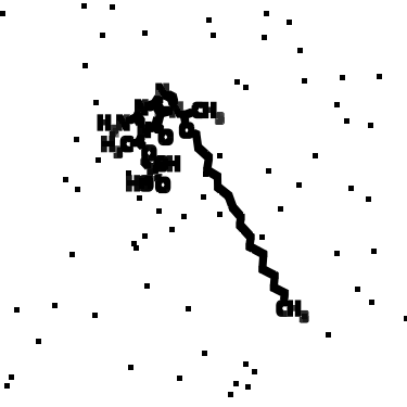 CCCCCCCCCCCCCCCCCCOC(C)n1cnc2nc(N)n(C(C)OCP(=O)(O)O)c(=O)c21